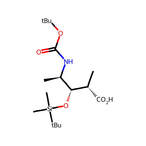 C[C@H](C(=O)O)[C@H](O[Si](C)(C)C(C)(C)C)[C@@H](C)NC(=O)OC(C)(C)C